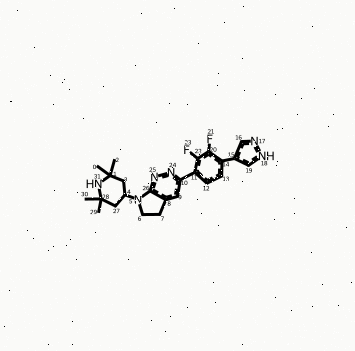 CC1(C)CC(N2CCc3cc(-c4ccc(-c5cn[nH]c5)c(F)c4F)nnc32)CC(C)(C)N1